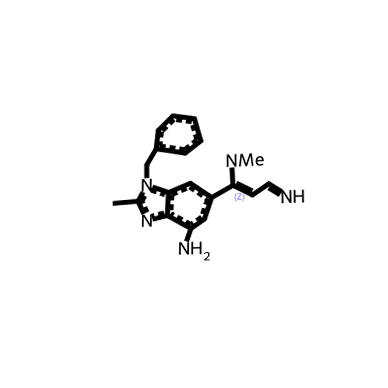 CN/C(=C\C=N)c1cc(N)c2nc(C)n(Cc3ccccc3)c2c1